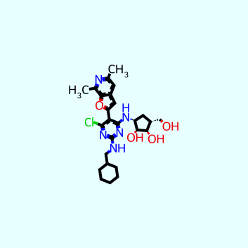 Cc1cc2cc(-c3c(Cl)nc(NCC4CCCCC4)nc3N[C@@H]3C[C@H](CO)[C@@H](O)[C@H]3O)oc2c(C)n1